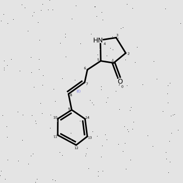 O=C1CCNC1C/C=C/c1ccccc1